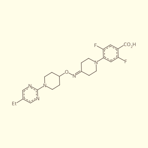 CCc1cnc(N2CCC(ON=C3CCN(c4cc(F)c(C(=O)O)cc4F)CC3)CC2)nc1